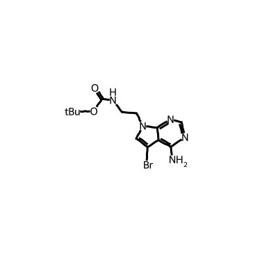 CC(C)(C)OC(=O)NCCn1cc(Br)c2c(N)ncnc21